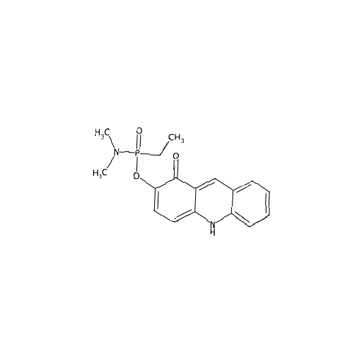 CCP(=O)(Oc1ccc2[nH]c3ccccc3cc-2c1=O)N(C)C